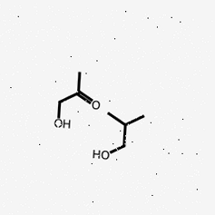 CC(=O)CO.CC(C)CO